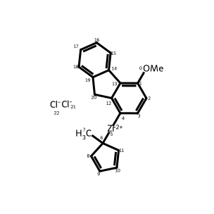 COc1cc[c]([Zr+2][C]2(C)C=CC=C2)c2c1-c1ccccc1C2.[Cl-].[Cl-]